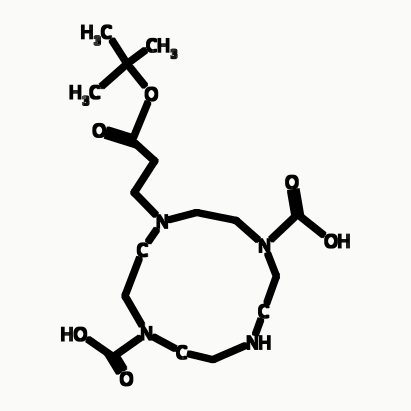 CC(C)(C)OC(=O)CCN1CCN(C(=O)O)CCNCCN(C(=O)O)CC1